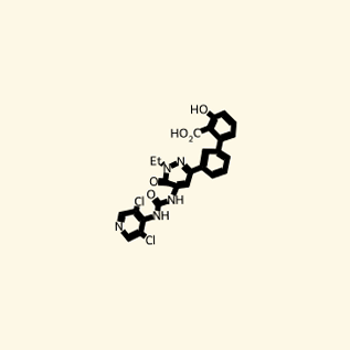 CCn1nc(-c2cccc(-c3cccc(O)c3C(=O)O)c2)cc(NC(=O)Nc2c(Cl)cncc2Cl)c1=O